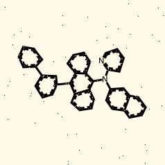 c1ccc(-c2cccc(-c3c4ccccc4c(N(c4ccc5ccccc5c4)c4ccccn4)c4ccccc34)c2)cc1